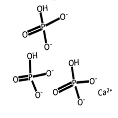 O=P([O-])([O-])O.O=P([O-])([O-])O.O=P([O-])([O-])O.[Ca+2].[Sn+4]